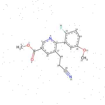 COC(=O)c1cnc(-c2cc(OC)ccc2F)c(CCC#N)c1